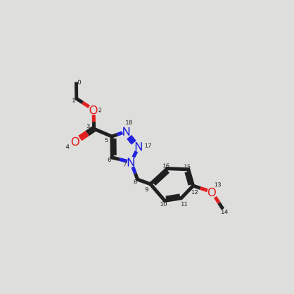 CCOC(=O)c1cn(Cc2ccc(OC)cc2)nn1